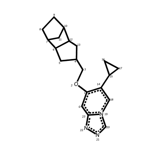 c1c(OCC2CC3C4CCC(C4)C3C2)c(C2CC2)cn2cnnc12